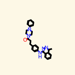 Cc1nnc(Nc2ccc(CCC(=O)N3CCN(c4ccccc4)CC3)cc2)c2ccccc12